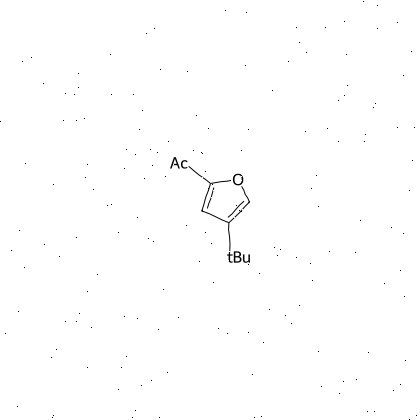 CC(=O)c1cc(C(C)(C)C)co1